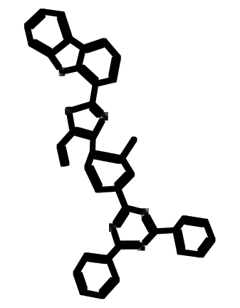 C=Cc1oc(-c2cccc3c2sc2ccccc23)nc1-c1ccc(-c2nc(-c3ccccc3)nc(-c3ccccc3)n2)cc1C